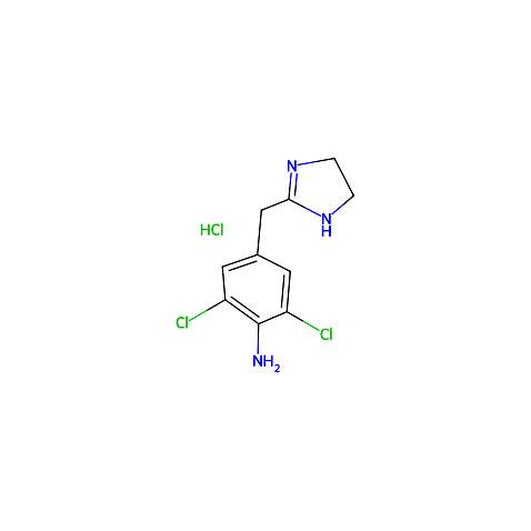 Cl.Nc1c(Cl)cc(CC2=NCCN2)cc1Cl